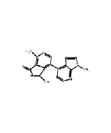 Cn1ccc2c(-c3cnc(N)c4c3C(O)NC4=O)ccnc21